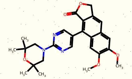 COc1cc2cc3c(c(-c4cnc(N5CC(C)(C)OC(C)(C)C5)nc4)c2cc1OC)C(=O)OC3